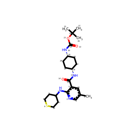 Cc1cnc(NC2CCSCC2)c(C(=O)N[C@H]2CC[C@@H](NC(=O)OC(C)(C)C)CC2)c1